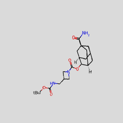 CC(C)(C)OC(=O)NCC1CN(C(=O)OC2[C@@H]3CC4C[C@@H]2CC(C(N)=O)(C4)C3)C1